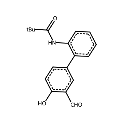 CC(C)(C)C(=O)Nc1ccccc1-c1ccc(O)c(C=O)c1